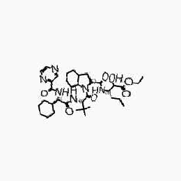 CCC[C@H](NC(=O)[C@@H]1CC2CCCCC2N1C(=O)[C@@H](NC(=O)[C@@H](NC(=O)c1cnccn1)C1CCCCC1)C(C)(C)C)C(O)C(=O)OCC